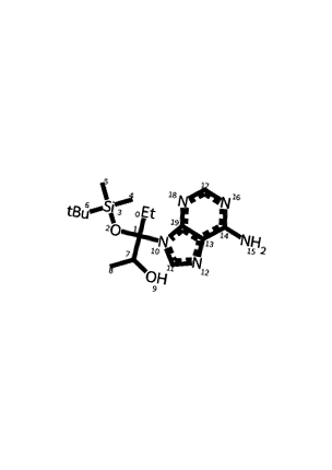 CCC(O[Si](C)(C)C(C)(C)C)(C(C)O)n1cnc2c(N)ncnc21